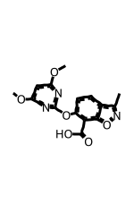 COc1cc(OC)nc(Oc2ccc3c(C)noc3c2C(=O)O)n1